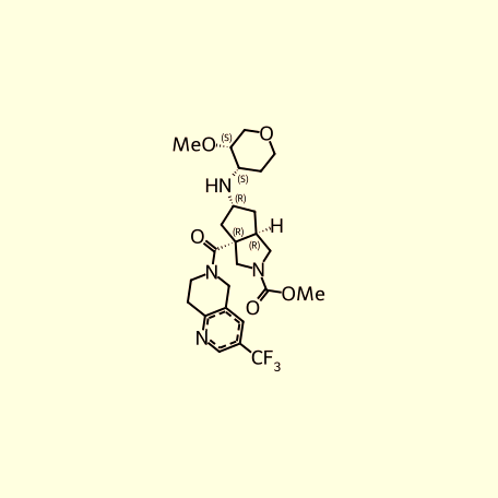 COC(=O)N1C[C@@H]2C[C@@H](N[C@H]3CCOC[C@H]3OC)C[C@]2(C(=O)N2CCc3ncc(C(F)(F)F)cc3C2)C1